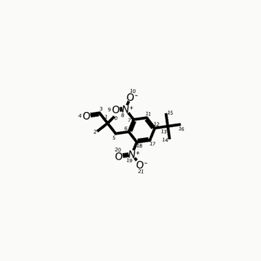 CC(C)([C]=O)Cc1c([N+](=O)[O-])cc(C(C)(C)C)cc1[N+](=O)[O-]